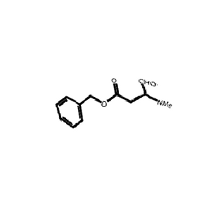 CNC([C]=O)CC(=O)OCc1ccccc1